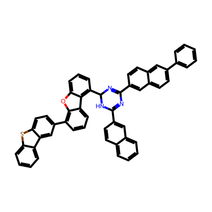 c1ccc(-c2ccc3cc(C4=NC(c5cccc6oc7c(-c8ccc9sc%10ccccc%10c9c8)cccc7c56)NC(c5ccc6ccccc6c5)=N4)ccc3c2)cc1